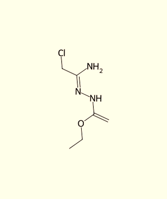 C=C(N/N=C(\N)CCl)OCC